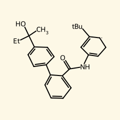 CCC(C)(O)c1ccc(-c2ccccc2C(=O)NC2=CC[CH]C(C(C)(C)C)=C2)cc1